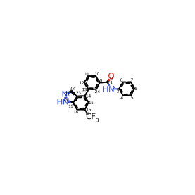 O=C(Nc1ccccc1)c1cccc(-c2cc(C(F)(F)F)cc3[nH]ncc23)c1